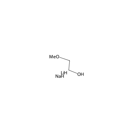 COCCO.[LiH].[NaH]